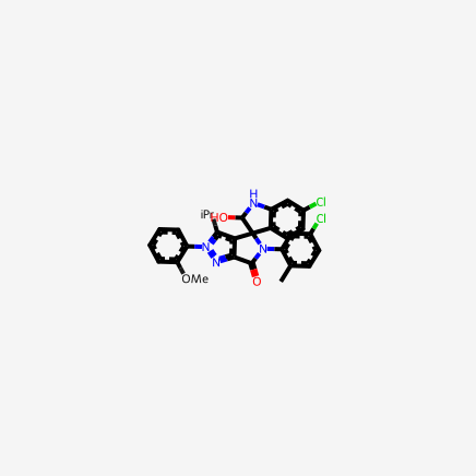 COc1ccccc1-n1nc2c(c1C(C)C)C1(c3ccc(Cl)cc3NC1O)N(c1cc(Cl)ccc1C)C2=O